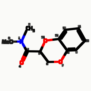 CON(C)C(=O)C1COc2ccccc2O1